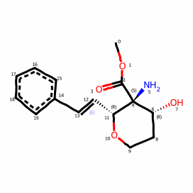 COC(=O)[C@]1(N)[C@H](O)CCO[C@@H]1/C=C/c1ccccc1